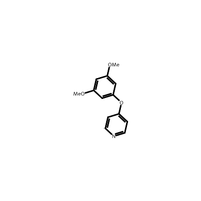 COc1cc(OC)cc(Oc2c[c]ncc2)c1